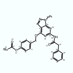 CC(C)n1ncc2c(OCc3ccc(OC(=O)C(C)(C)C)cc3)nc(NC(=O)Cc3ccccc3)nc21